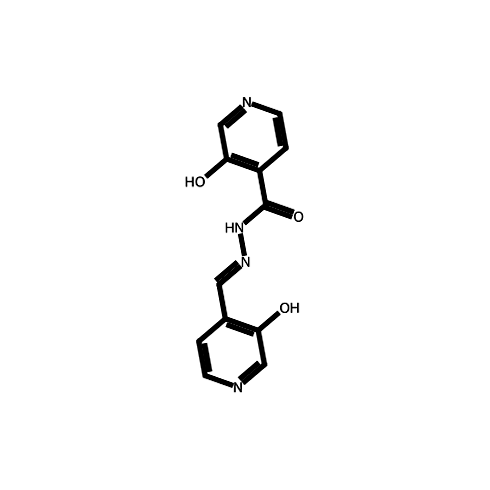 O=C(NN=Cc1ccncc1O)c1ccncc1O